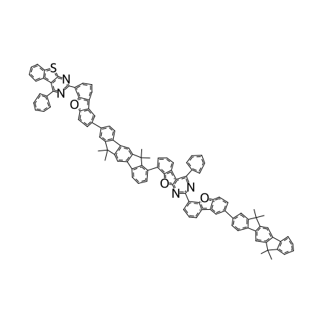 CC1(C)c2ccccc2-c2cc3c(cc21)-c1ccc(-c2ccc4oc5c(-c6nc(-c7ccccc7)c7c(n6)oc6c(-c8cccc9c8C(C)(C)c8cc%10c(cc8-9)C(C)(C)c8cc(-c9ccc%11oc%12c(-c%13nc(-c%14ccccc%14)c%14c(n%13)sc%13ccccc%13%14)cccc%12c%11c9)ccc8-%10)cccc67)cccc5c4c2)cc1C3(C)C